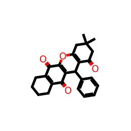 CC1(C)CC(=O)C2=C(C1)OC1=C(C(=O)C3=C(CCCC3)C1=O)C2c1ccccc1